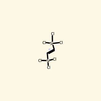 Cl[Si](Cl)(Cl)/C=C/[Si](Cl)(Cl)Cl